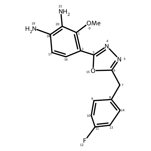 COc1c(-c2nnc(Cc3ccc(F)cc3)o2)ccc(N)c1N